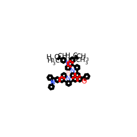 CC(C)(C)c1ccc(N(c2ccc(C(C)(C)C)cc2)c2ccc3c(c2)N(c2c(-c4ccccc4)cccc2-c2ccccc2)c2cc(-c4ccc5oc6ccccc6c5c4)cc4c2B3c2ccc(-c3ccc5c(c3)c3ccccc3n5-c3ccccc3)cc2N4c2c(-c3ccccc3)cccc2-c2ccccc2)cc1